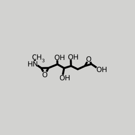 CNC1OC1C(O)C(O)C(O)CC1OC1O